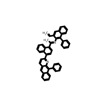 C=Cc1cc2ccccc2c(-c2ccccc2)c1/N=C(\C)c1ccc(-c2ccc3cc4ccccc4c(-c4ccccc4)c3n2)c2ccccc12